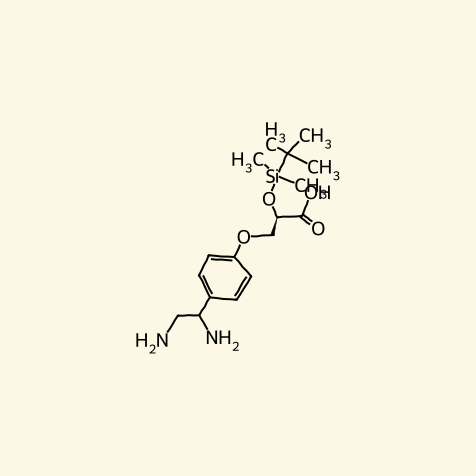 CC(C)(C)[Si](C)(C)O[C@H](COc1ccc(C(N)CN)cc1)C(=O)O